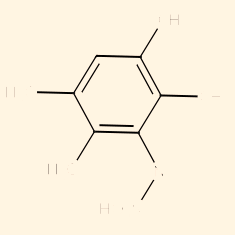 Cc1cc(C)c(C)c(NS(=O)(=O)O)c1C